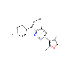 CC1=CCC(/C(=C/C(C)C)c2ncc(-c3c(C)coc3C)cc2C)C=C1